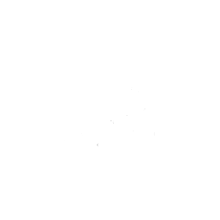 O=C(O)CC(Nc1ccccc1C(=O)O)(C(=O)O)C(=O)O